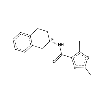 Cc1nc(C)c(C(=O)N[C@H]2CCc3ccccc3C2)s1